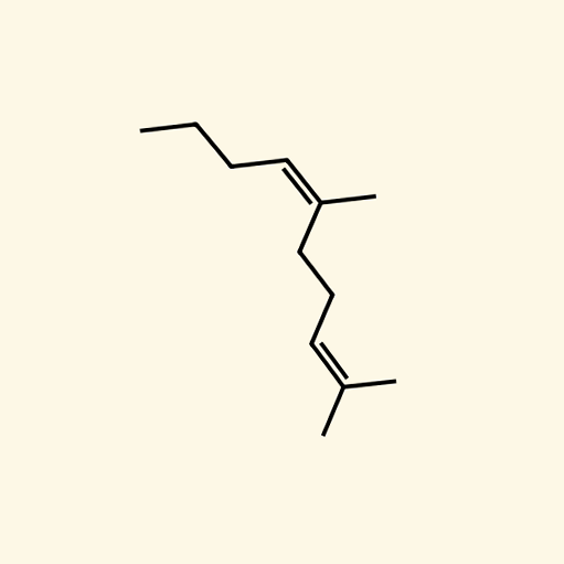 CCCC=C(C)CCC=C(C)C